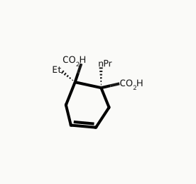 CCC[C@]1(C(=O)O)CC=CC[C@@]1(CC)C(=O)O